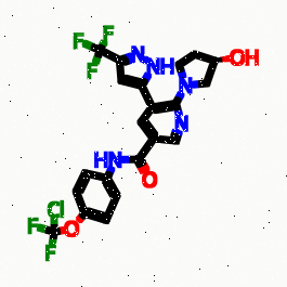 O=C(Nc1ccc(OC(F)(F)Cl)cc1)c1cnc(N2CC[C@@H](O)C2)c(-c2cc(C(F)(F)F)n[nH]2)c1